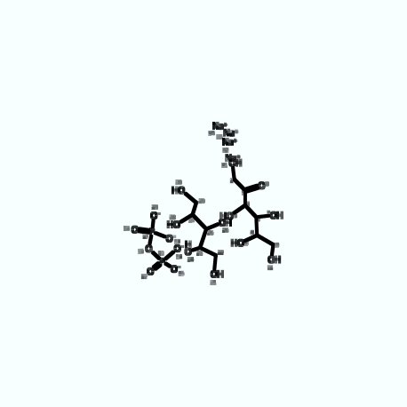 O=C(CO)C(O)C(O)C(O)CO.O=P([O-])([O-])OP(=O)([O-])[O-].OCC(O)C(O)C(O)CO.[Na+].[Na+].[Na+].[Na+]